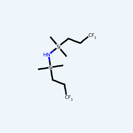 C[Si](C)(CCC(F)(F)F)N[Si](C)(C)CCC(F)(F)F